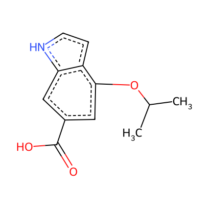 CC(C)Oc1cc(C(=O)O)cc2[nH]ccc12